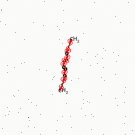 C=CC(=O)OCCCCOC(=O)Oc1ccc(C(=O)Oc2ccc3cc(C(=O)O[C@@H]4COC5C4OC[C@H]5OC(=O)c4ccc(OC(=O)OCCCCOC(=O)C=C)cc4)ccc3c2)cc1